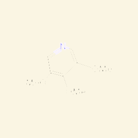 COc1[c]ncc(OC)c1OC